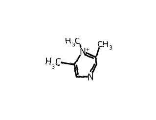 Cc1cncc(C)[n+]1C